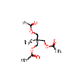 [CH2]C(COC(=O)CCC)(COC(=O)CCC)COC(=O)CCC